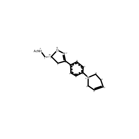 CC(=O)NC[C@H]1CC(c2ccc(N3CC=CCC3)cc2)=NO1